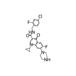 O=C(NCc1ccc(Cl)cc1F)c1cn(C2CC2)c2cc(N3CCNCC3)c(F)cc2c1=O